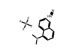 CN(C)c1cccc2ccccc12.F[B-](F)(F)F.N#[NH+]